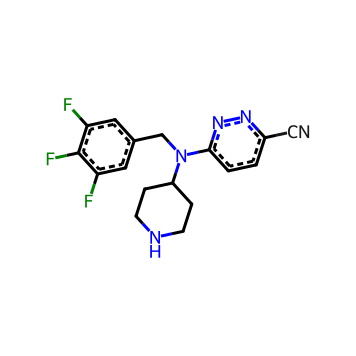 N#Cc1ccc(N(Cc2cc(F)c(F)c(F)c2)C2CCNCC2)nn1